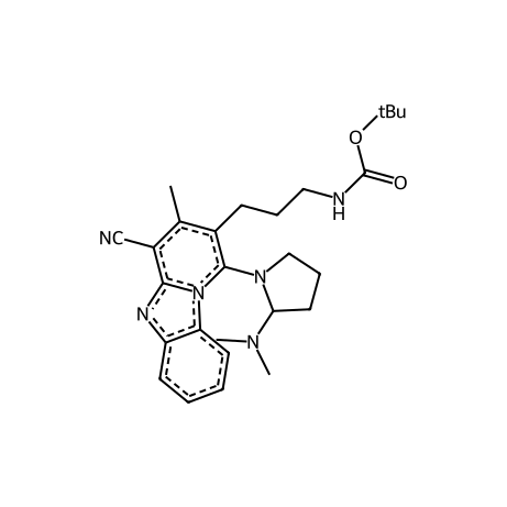 Cc1c(CCCNC(=O)OC(C)(C)C)c(N2CCCC2N(C)C)n2c(nc3ccccc32)c1C#N